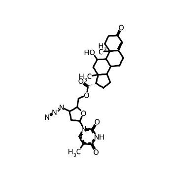 Cc1cn(C2CC(N=[N+]=[N-])C(COC(=O)[C@H]3CCC4C5CCC6=CC(=O)CCC6(C)C5C(O)CC43C)O2)c(=O)[nH]c1=O